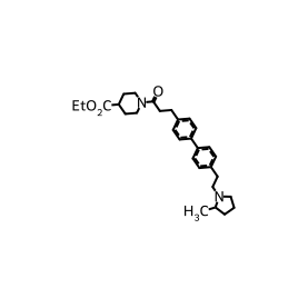 CCOC(=O)C1CCN(C(=O)CCc2ccc(-c3ccc(CCN4CCCC4C)cc3)cc2)CC1